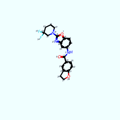 O=C(Nc1ccc2oc(N3CCCC(F)(F)C3)nc2c1)c1ccc2c(c1)CCO2